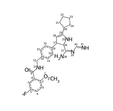 COc1ccc(F)cc1C(=O)NCc1ccc(C2C=C(C3CCCC3)NC2/C(N)=N\C=N)cc1